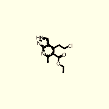 CCOC(=O)c1c(C)nc2n[nH]cc2c1CCCl